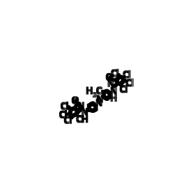 Cc1cc(NC2=NC(=O)c3c(Cl)c(Cl)c(Cl)c(Cl)c32)ccc1N=Nc1ccc(NC2=NC(=O)c3c(Cl)c(Cl)c(Cl)c(Cl)c32)cc1